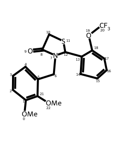 COc1cccc(CN2C(=O)CSC2c2ccccc2OC(F)(F)F)c1OC